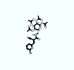 CC(=O)O[C@H]1O[C@H](CNC(=O)/C(C#N)=C/c2cccc(Br)n2)[C@H](OC(C)=O)[C@H](OC(C)=O)[C@H]1OC(C)=O